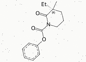 CC[C@]1(C)CCCN(C(=O)Oc2ccccc2)C1=O